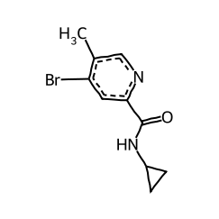 Cc1cnc(C(=O)NC2CC2)cc1Br